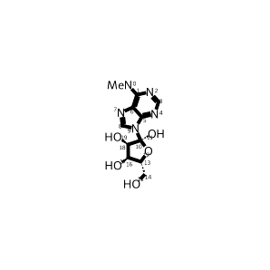 CNc1ncnc2c1ncn2[C@@]1(O)O[C@H](CO)[C@@H](O)[C@H]1O